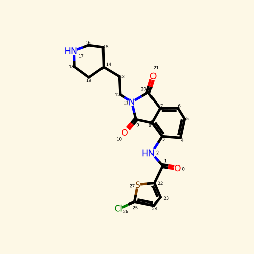 O=C(Nc1cccc2c1C(=O)N(CCC1CCNCC1)C2=O)c1ccc(Cl)s1